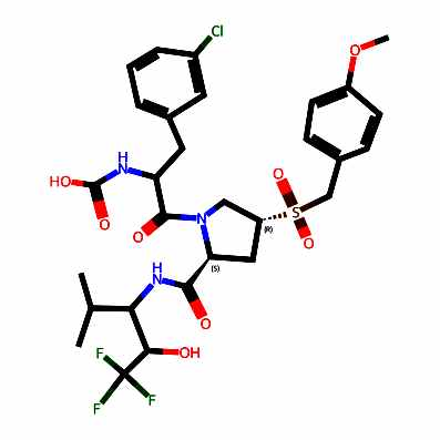 COc1ccc(CS(=O)(=O)[C@@H]2C[C@@H](C(=O)NC(C(C)C)C(O)C(F)(F)F)N(C(=O)C(Cc3cccc(Cl)c3)NC(=O)O)C2)cc1